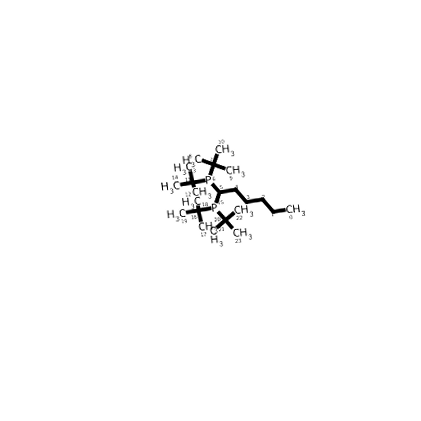 CCCCCC(P(C(C)(C)C)C(C)(C)C)P(C(C)(C)C)C(C)(C)C